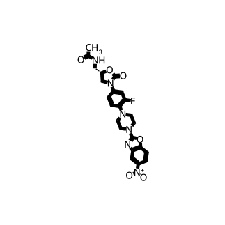 CC(=O)NC[C@H]1CN(c2ccc(N3CCN(c4nc5cc([N+](=O)[O-])ccc5o4)CC3)c(F)c2)C(=O)O1